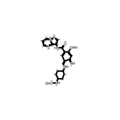 COC1=CC(=N)/C(=C\NC2CCC(NC=O)CC2)C=C1C(=O)Nc1cnn2cccnc12